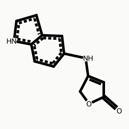 O=C1C=C(Nc2ccc3[nH]ccc3c2)CO1